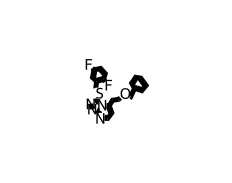 Fc1ccc(F)c(CSc2nnc3nccc(CCOCc4ccccc4)n23)c1